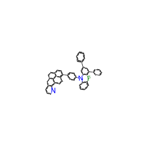 Fc1ccccc1N(c1ccc(-c2ccc3ccc4cc5cccnc5c5ccc2c3c45)cc1)c1cc(-c2ccccc2)cc(-c2ccccc2)c1